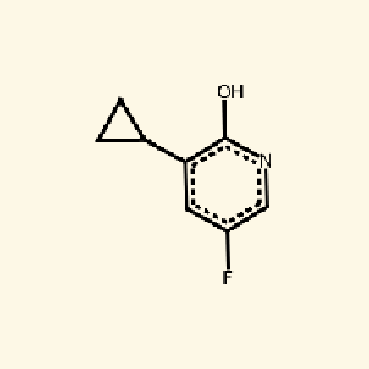 Oc1ncc(F)cc1[C]1CC1